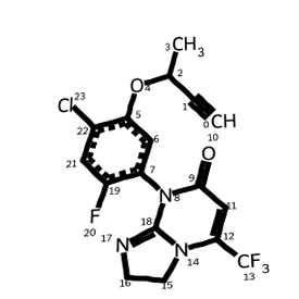 C#CC(C)Oc1cc(N2C(=O)C=C(C(F)(F)F)N3CCN=C32)c(F)cc1Cl